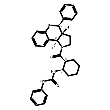 O=C(Nc1ccccc1)N[C@@H]1CCCC[C@@H]1C(=O)N1CC[C@H]2[C@H](c3ccccc3)Nc3ccccc3[C@@H]21